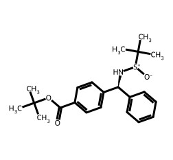 CC(C)(C)OC(=O)c1ccc([C@@H](N[S+]([O-])C(C)(C)C)c2ccccc2)cc1